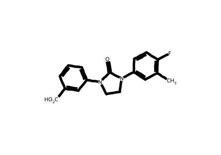 Cc1cc(N2CCN(c3cccc(C(=O)O)c3)C2=O)ccc1F